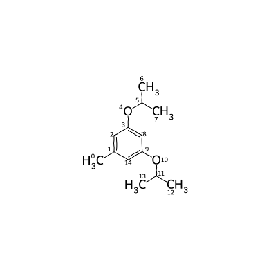 Cc1cc(OC(C)C)[c]c(OC(C)C)c1